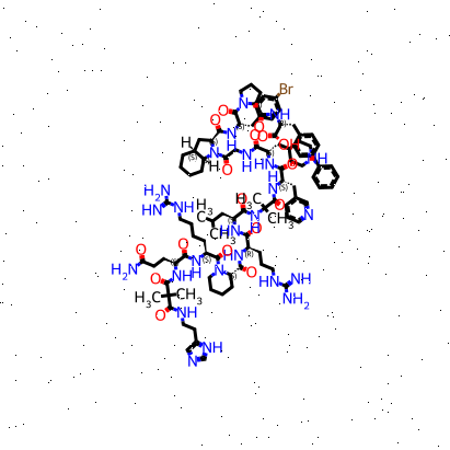 CC(C)C[C@H](NC(=O)[C@@H](CCCNC(=N)N)NC(=O)[C@@H]1CCCCN1C(=O)[C@H](CCCCNC(=N)N)NC(=O)[C@H](CCC(N)=O)NC(=O)C(C)(C)C(=O)NCCc1cnc[nH]1)C(=O)NC(C)(C)C(=O)N[C@@H](Cc1cccnc1)C(=O)N[C@@H](CC1CCNCC1)C(=O)NCC(=O)N1[C@H](C(=O)N[C@@H](Cc2ccc(Br)cc2)C(=O)N2CCC[C@H]2C(=O)N[C@H](Cc2ccc(-c3ccccc3)cc2)C(=O)O)C[C@@H]2CCCC[C@@H]21